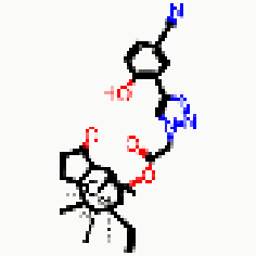 C=C[C@]1(C)CC(OC(=O)Cn2cc(-c3cc(C#N)ccc3O)nn2)C2C(C)CC[C@]3(CCC(=O)C23)C(C)[C@@H]1C